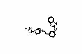 NC(=O)N1CC2CC1CN2CCc1cccc(Oc2nc3ccccc3s2)c1